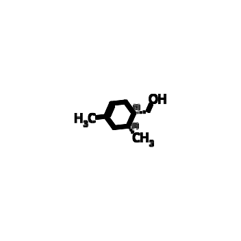 CC1=CC[C@H](CO)[C@H](C)C1